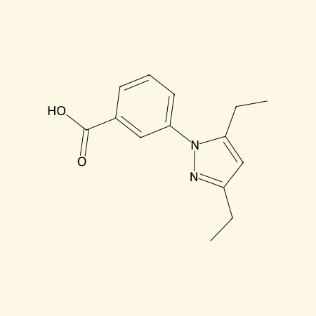 CCc1cc(CC)n(-c2cccc(C(=O)O)c2)n1